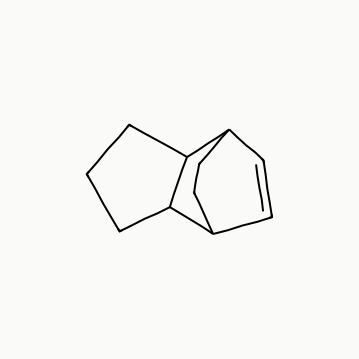 C1=CC2CCC1C1CCCC21